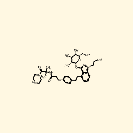 CC(C)(NC(=O)CCc1ccc(CCc2cccc3c2c(O[C@@H]2O[C@H](CO)[C@@H](O)[C@H](O)[C@H]2O)nn3CCO)cc1)C(=O)N1CCNCC1